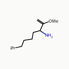 C=C(OC)C(N)CCCCC(C)C